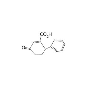 O=C1C=C(C(=O)O)C(c2ccccc2)CC1